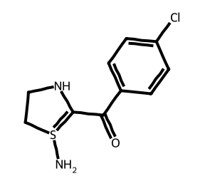 NS1=C(C(=O)c2ccc(Cl)cc2)NCC1